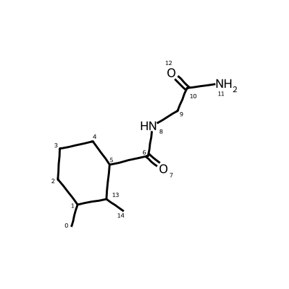 CC1CCCC(C(=O)NCC(N)=O)C1C